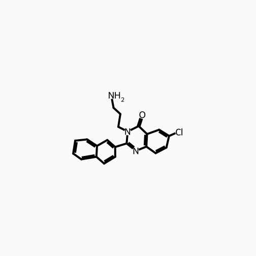 NCCCn1c(-c2ccc3ccccc3c2)nc2ccc(Cl)cc2c1=O